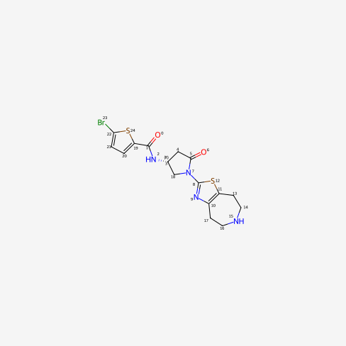 O=C(N[C@@H]1CC(=O)N(c2nc3c(s2)CCNCC3)C1)c1ccc(Br)s1